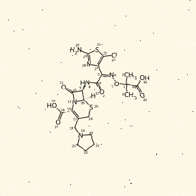 CC(C)(O/N=C(\C(=O)N[C@@H]1C(=O)N2C(C(=O)O)=C(CN3CCCC3)CS[C@H]12)c1nc(N)sc1Cl)C(=O)O